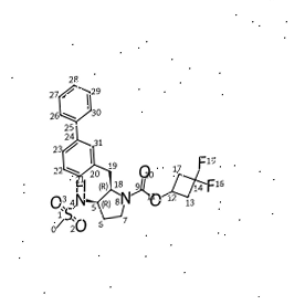 CS(=O)(=O)N[C@@H]1CCN(C(=O)OC2CC(F)(F)C2)[C@@H]1Cc1cccc(-c2ccccc2)c1